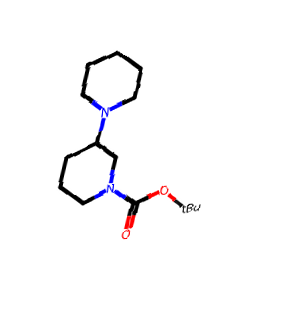 CC(C)(C)OC(=O)N1CCCC(N2CCCCC2)C1